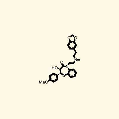 COc1ccc([C@@H]2Sc3ccccc3N(CCN(C)CCc3ccc4c(c3)OCO4)C(=O)[C@@H]2O)cc1